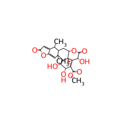 COC(=O)C12OCC34C(CC5C(C)C6=CC(=O)OC6=CC5(C)C3C(O)C1O)OC(=O)C(O)C24